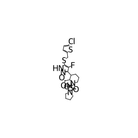 O=C(O)C1C(c2n[nH]c(SCc3ccc(Cl)s3)c2F)CCCN1S(=O)(=O)N1CCCC1